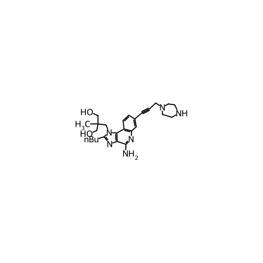 CCCCc1nc2c(N)nc3cc(C#CCN4CCNCC4)ccc3c2n1CC(C)(CO)CO